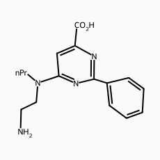 CCCN(CCN)c1cc(C(=O)O)nc(-c2ccccc2)n1